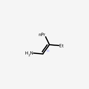 CCC/C(=C\N)CC